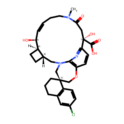 CN1CCC=C[C@H](O)[C@@H]2CC[C@H]2CN2C[C@@]3(CCCc4cc(Cl)ccc43)COc3ccc(nc32)[C@](O)(C(=O)O)CC1=O